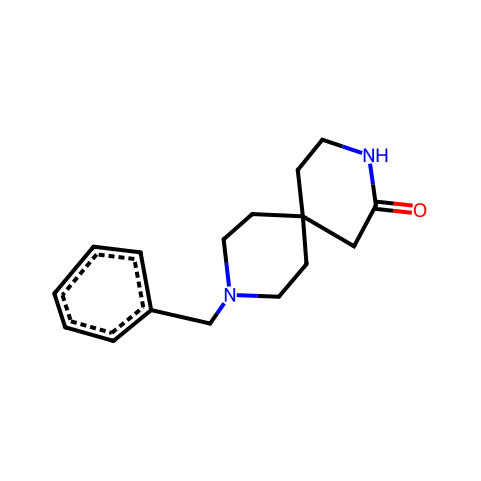 O=C1CC2(CCN1)CCN(Cc1ccccc1)CC2